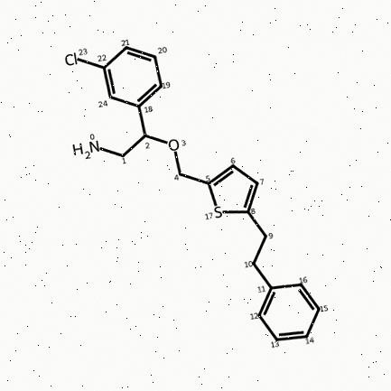 NCC(OCc1ccc(CCc2ccccc2)s1)c1cccc(Cl)c1